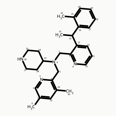 Cc1cnc(CN(Cc2ncccc2C(C)c2ccccc2C)C2CCNCC2)c(C)c1